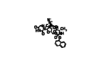 CCCOC(=O)[C@H](C)N[P@](=O)(OC[C@H]1O[C@@H](n2ccc(=O)[nH]c2=O)[C@](C)(N=[N+]=[N-])[C@@H]1O)Oc1cccc2ccccc12